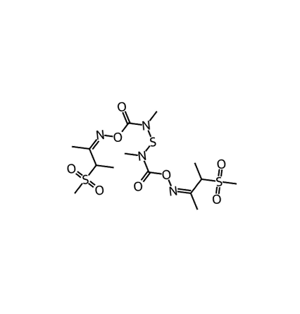 CC(=NOC(=O)N(C)SN(C)C(=O)ON=C(C)C(C)S(C)(=O)=O)C(C)S(C)(=O)=O